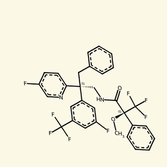 CO[C@](C(=O)NC[C@](Cc1ccccc1)(c1cc(F)cc(C(F)(F)F)c1)c1ccc(F)cn1)(c1ccccc1)C(F)(F)F